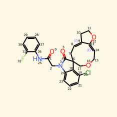 O=C(CN1C(=O)C2(C/C=C3/CCO/C3=C/COC2)c2c(Cl)cccc21)Nc1ccccc1F